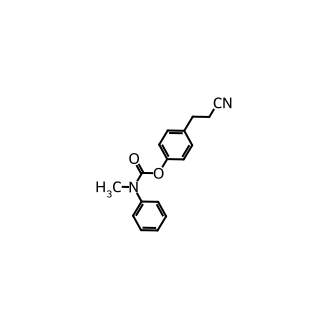 CN(C(=O)Oc1ccc(CCC#N)cc1)c1ccccc1